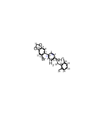 C=C(/C=C\C(=C/N)c1cc2c(cc1Br)OCO2)NCc1c(C)cccc1C